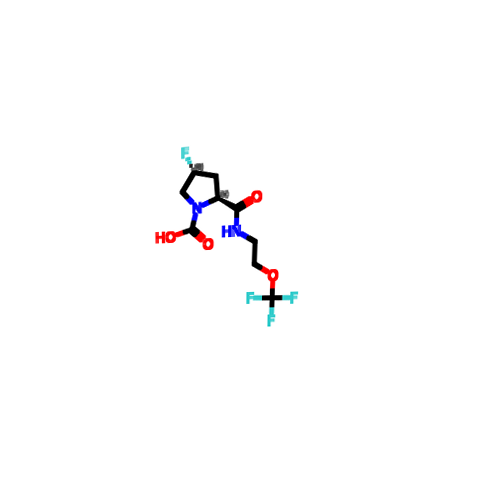 O=C(NCCOC(F)(F)F)[C@@H]1C[C@@H](F)CN1C(=O)O